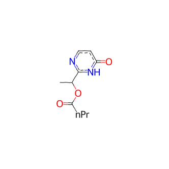 CCCC(=O)OC(C)c1nccc(=O)[nH]1